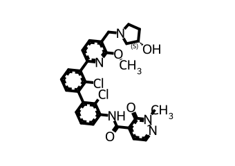 COc1nc(-c2cccc(-c3cccc(NC(=O)c4ccnn(C)c4=O)c3Cl)c2Cl)ccc1CN1CC[C@H](O)C1